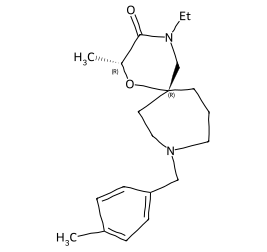 CCN1C[C@]2(CCCN(Cc3ccc(C)cc3)CC2)O[C@H](C)C1=O